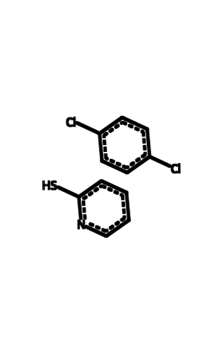 Clc1ccc(Cl)cc1.Sc1ccccn1